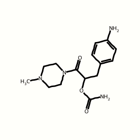 CN1CCN(C(=O)C(Cc2ccc(N)cc2)OC(N)=O)CC1